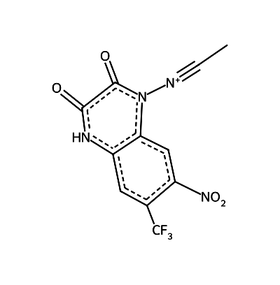 CC#[N+]n1c(=O)c(=O)[nH]c2cc(C(F)(F)F)c([N+](=O)[O-])cc21